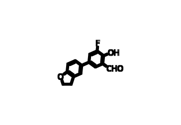 O=Cc1cc(-c2ccc3c(c2)CCO3)cc(F)c1O